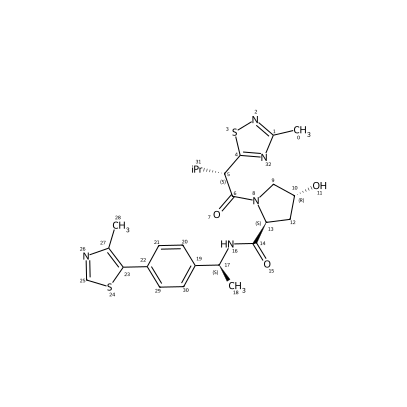 Cc1nsc([C@H](C(=O)N2C[C@H](O)C[C@H]2C(=O)N[C@@H](C)c2ccc(-c3scnc3C)cc2)C(C)C)n1